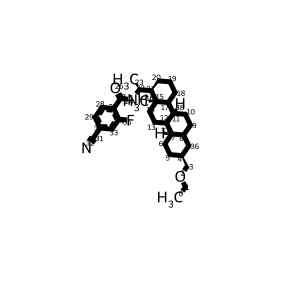 CCOC[C@H]1CC[C@H]2C(CC[C@@H]3C2CC[C@@]2(C)C3CCC[C@@H]2[C@@H](C)NC(=O)c2ccc(C#N)cc2F)C1